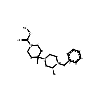 C[C@H]1CN(C2(C)CCN(C(=O)OC(C)(C)C)CC2)CCN1Cc1ccccc1